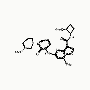 CNc1cc(Nc2cccn([C@H]3CCC[C@@H](OC)C3)c2=O)nc2c(C(=O)N[C@@H]3CC[C@H]3OC)cnn12